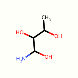 CC(O)C(O)C(N)O